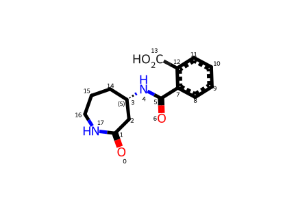 O=C1C[C@@H](NC(=O)c2ccccc2C(=O)O)CCCN1